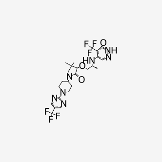 C[C@@H](CO[C@H]1C(=O)N(C2CCN(c3ncc(C(F)(F)F)cn3)CC2)CC1(C)C)Nc1cn[nH]c(=O)c1C(F)(F)F